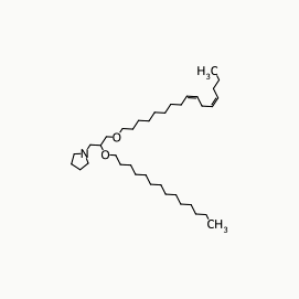 CCC/C=C\C/C=C\CCCCCCCCOCC(CN1CCCC1)OCCCCCCCCCCCCCC